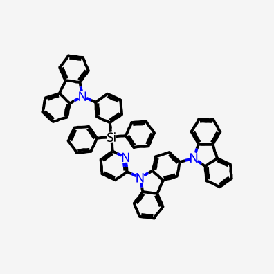 c1ccc([Si](c2ccccc2)(c2cccc(-n3c4ccccc4c4ccccc43)c2)c2cccc(-n3c4ccccc4c4cc(-n5c6ccccc6c6ccccc65)ccc43)n2)cc1